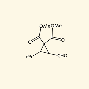 CCCC1C(C=O)C1(C(=O)OC)C(=O)OC